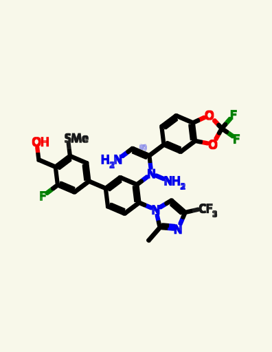 CSc1cc(-c2ccc(-n3cc(C(F)(F)F)nc3C)c(N(N)/C(=C\N)c3ccc4c(c3)OC(F)(F)O4)c2)cc(F)c1CO